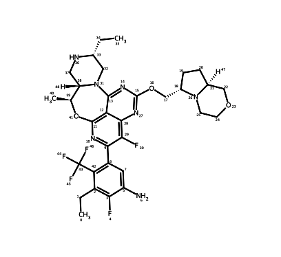 CCc1c(F)c(N)cc(-c2nc3c4c(nc(OC[C@@H]5CC[C@H]6COCCN65)nc4c2F)N2C[C@@H](CC)NC[C@H]2[C@H](C)O3)c1C(F)(F)F